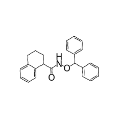 O=C(NOC(c1ccccc1)c1ccccc1)C1CCCc2ccccc21